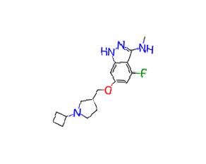 CNc1n[nH]c2cc(OCC3CCN(C4CCC4)C3)cc(F)c12